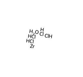 Cl.Cl.Cl.Cl.O.[Zr]